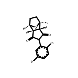 CCc1ccc(Br)cc1C1C(=O)[C@@H]2[C@H](C1=O)[C@H]1CC[C@@H]2O1